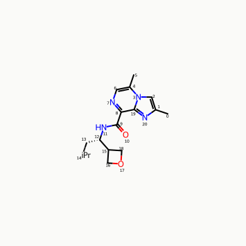 Cc1cn2c(C)cnc(C(=O)N[C@@H](CC(C)C)C3COC3)c2n1